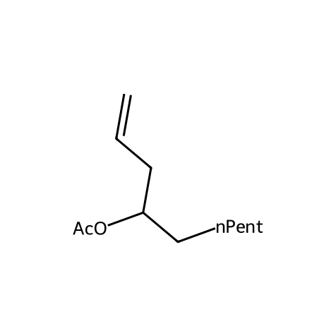 C=CCC(CCCCCC)OC(C)=O